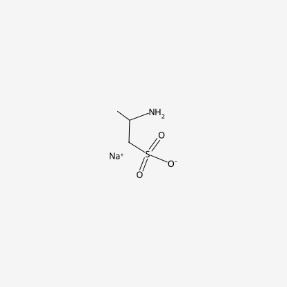 CC(N)CS(=O)(=O)[O-].[Na+]